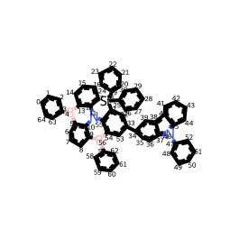 c1ccc(B2c3cccc4c3N3c5c2cccc5[Si](c2ccccc2)(c2ccccc2)c2cc(-c5ccc6c(c5)c5ccccc5n6-c5ccccc5)cc(c23)B4c2ccccc2)cc1